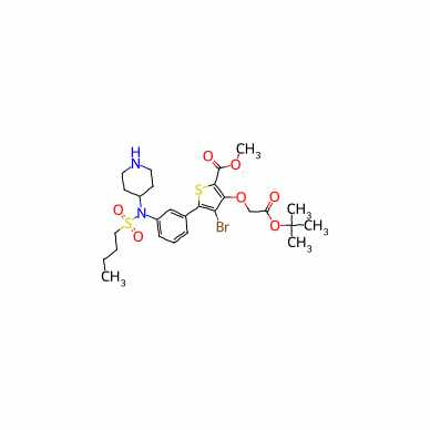 CCCCS(=O)(=O)N(c1cccc(-c2sc(C(=O)OC)c(OCC(=O)OC(C)(C)C)c2Br)c1)C1CCNCC1